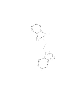 c1ccc2sc(SCn3cnc4ccccc43)nc2c1